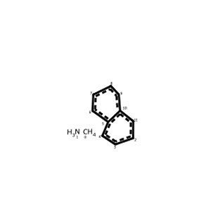 C.N.c1ccc2ccccc2c1